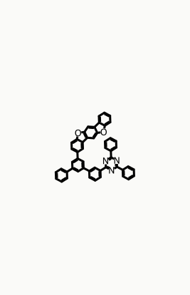 c1ccc(-c2cc(-c3cccc(-c4nc(-c5ccccc5)nc(-c5ccccc5)n4)c3)cc(-c3ccc4oc5cc6c(cc5c4c3)oc3ccccc36)c2)cc1